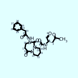 CC(=O)C[C@@H](C=O)NC(=O)[C@@H]1CCCN2C(=O)CCN(NC(=O)Cc3ccccc3)C(=O)N12